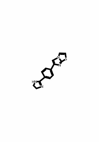 c1cn2cc(-c3ccc(C4=NCCN4)cc3)nc2s1